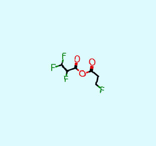 O=C(CCF)OC(=O)C(F)C(F)F